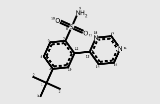 CC(C)(C)c1ccc(S(N)(=O)=O)c(-c2ccncn2)c1